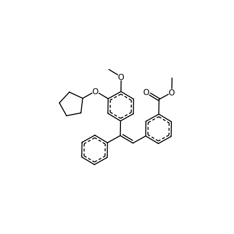 COC(=O)c1cccc(C=C(c2ccccc2)c2ccc(OC)c(OC3CCCC3)c2)c1